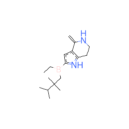 C=C1NCCc2[nH]c(B(CC)CC(C)(C)C(C)C)cc21